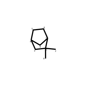 CC1(C)CC2C[CH]C1C2